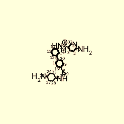 Nc1ccc(S(=O)(=O)Nc2cccc(-c3ccc(C4CC4NC4CCC(N)CC4)cc3)c2)cn1